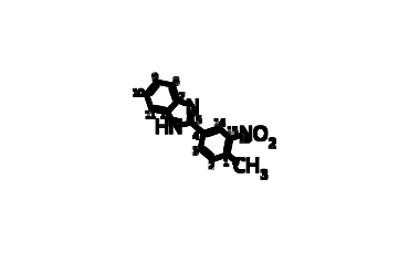 Cc1ccc(-c2nc3ccccc3[nH]2)cc1[N+](=O)[O-]